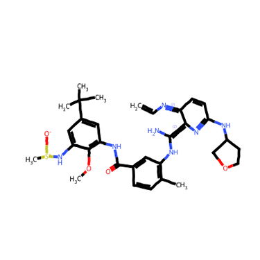 C=C/N=C1/C=CC(NC2CCOC2)=N/C1=C(/N)Nc1cc(C(=O)Nc2cc(C(C)(C)C)cc(N[S+](C)[O-])c2OC)ccc1C